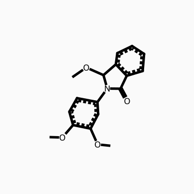 COc1ccc(N2C(=O)c3ccccc3C2OC)cc1OC